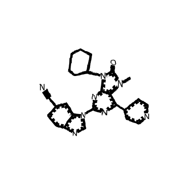 Cn1c(=O)n(C2CCCCC2)c2nc(-n3cnc4ccc(C#N)cc43)nc(-c3ccncc3)c21